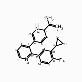 C=C(N)C1C=CC(c2cccnc2-c2ccc(F)c(C3CC3)c2)=CN1